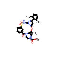 Cc1cccc(C)c1-c1cc2nc(n1)NS(=O)(=O)c1cccc(c1)C(=O)N1CCN(C(=O)OC(C)(C)C)CC1C(C)O2